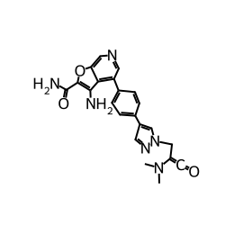 CN(C)C(=C=O)Cn1cc(-c2ccc(-c3cncc4oc(C(N)=O)c(N)c34)cc2)cn1